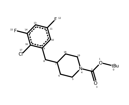 CC(C)(C)OC(=O)N1CCC(Cc2cc(F)cc(F)c2Cl)CC1